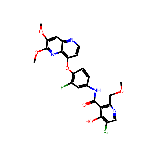 COCc1ncc(Br)c(O)c1C(=O)Nc1ccc(Oc2ccnc3cc(OC)c(OC)nc23)c(F)c1